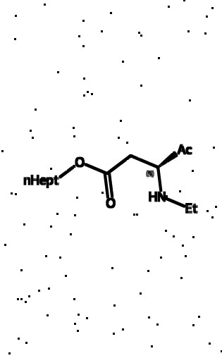 CCCCCCCOC(=O)C[C@H](NCC)C(C)=O